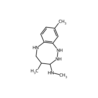 CNC1NNc2cc(C)ccc2NCC1C